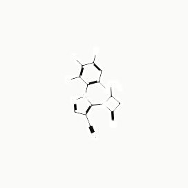 CC1CC(=O)N1c1c(C#N)cnn1-c1c(F)cc(F)c(F)c1F